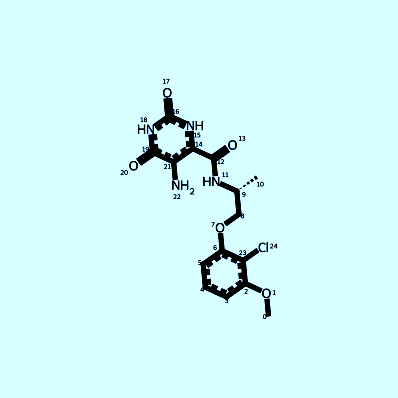 COc1cccc(OC[C@@H](C)NC(=O)c2[nH]c(=O)[nH]c(=O)c2N)c1Cl